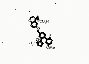 COc1ccc(F)c(-c2ccc(COc3ccc4c(c3)[C@]3(CCO4)C[C@@H]3C(=O)O)cc2C2=CCCC2(C)C)c1